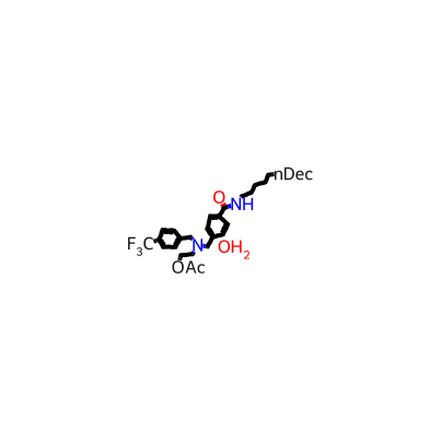 CCCCCCCCCCCCCCCNC(=O)c1ccc(CN(CCOC(C)=O)Cc2ccc(C(F)(F)F)cc2)cc1.O